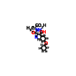 CC(NC(=O)c1ncc2cc(Oc3ccccc3)ccc2c1O)C(=O)O